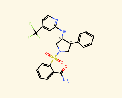 NC(=O)c1ccccc1S(=O)(=O)N1C[C@H](Nc2cc(C(F)(F)F)ccn2)[C@@H](c2ccccc2)C1